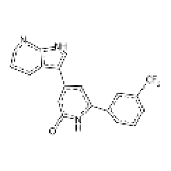 O=c1cc(-c2c[nH]c3ncccc23)cc(-c2cccc(C(F)(F)F)c2)[nH]1